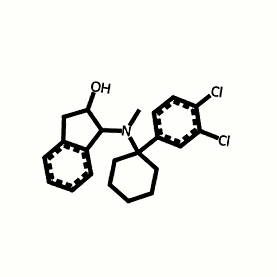 CN(C1c2ccccc2CC1O)C1(c2ccc(Cl)c(Cl)c2)CCCCC1